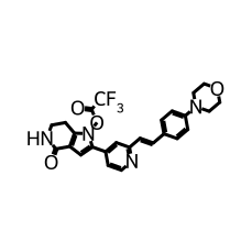 O=C1NCCc2c1cc(-c1ccnc(C=Cc3ccc(N4CCOCC4)cc3)c1)n2OC(=O)C(F)(F)F